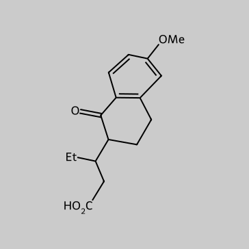 CCC(CC(=O)O)C1CCc2cc(OC)ccc2C1=O